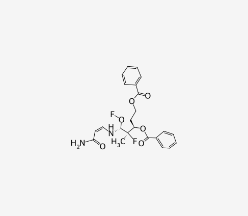 C[C@](F)([C@H](N/C=C\C(N)=O)OF)[C@@H](CCOC(=O)c1ccccc1)OC(=O)c1ccccc1